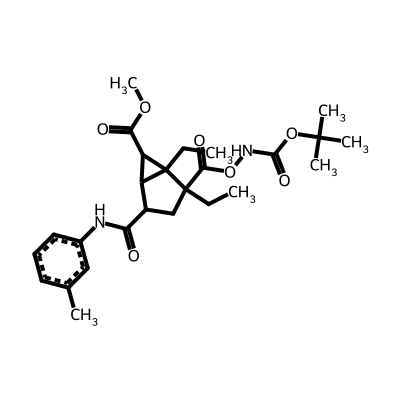 CCC1(C(=O)ONC(=O)OC(C)(C)C)CC(C(=O)Nc2cccc(C)c2)C2C(C(=O)OC)C21CC